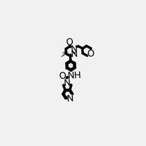 C[C@@H]1CC(=O)N(CC2CCOCC2)N=C1c1ccc(NC(=O)N2Cc3ccncc3C2)cc1